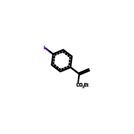 C=C(C(=O)OCC)c1ccc(I)cc1